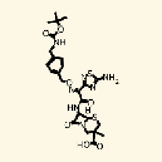 CC(C)(C)OC(=O)NCc1ccc(CON=C(C(=O)NC2C(=O)N3CC(C)(C(=O)O)CS[C@H]23)c2nsc(N)n2)cc1